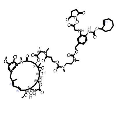 COc1cc2cc(c1Cl)N(C)C(=O)C[C@H](OC(=O)[C@H](C)N(C)C(=O)CCOC(=O)N(C)CCN(C)C(=O)OCc1ccc(NC(=O)OC3/C=C/CCCCC3)c(NCC(=O)ON3C(=O)CCC3=O)c1)C1(C)O[C@H]1[C@H](C)[C@@H]1C[C@@](O)(NC(=O)O1)[C@H](OC)/C=C/C=C(\C)C2